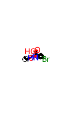 C[Si](C)(C)CCOCN1Nc2cc(Br)ccc2C1C(=O)O